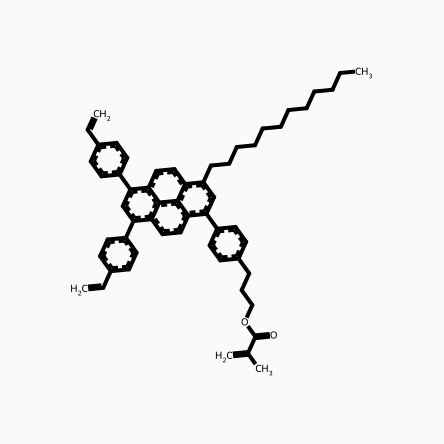 C=Cc1ccc(-c2cc(-c3ccc(C=C)cc3)c3ccc4c(-c5ccc(CCCOC(=O)C(=C)C)cc5)cc(CCCCCCCCCCCC)c5ccc2c3c54)cc1